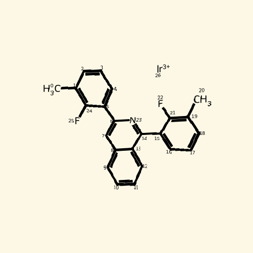 Cc1cccc(-c2cc3ccccc3c(-c3cccc(C)c3F)n2)c1F.[Ir+3]